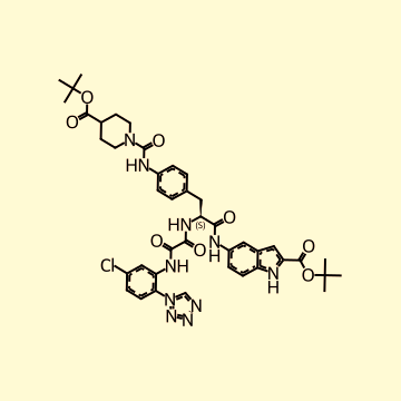 CC(C)(C)OC(=O)c1cc2cc(NC(=O)[C@H](Cc3ccc(NC(=O)N4CCC(C(=O)OC(C)(C)C)CC4)cc3)NC(=O)C(=O)Nc3cc(Cl)ccc3-n3cnnn3)ccc2[nH]1